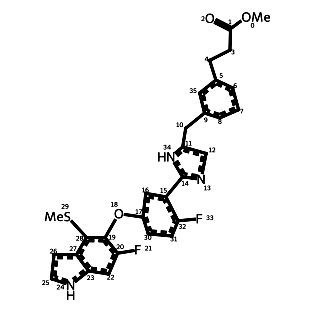 COC(=O)CCc1cccc(Cc2cnc(-c3cc(Oc4c(F)cc5[nH]ccc5c4SC)ccc3F)[nH]2)c1